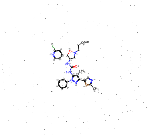 COCCN1C[C@@H](NC(=O)Nc2c(C)c(-c3cnc(C)s3)nn2-c2ccccc2)[C@H](c2ccnc(F)c2)O1